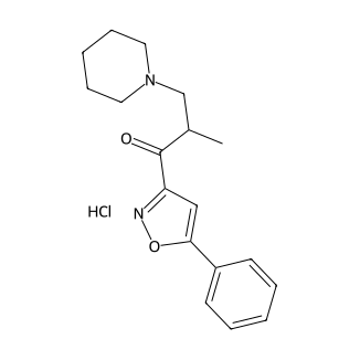 CC(CN1CCCCC1)C(=O)c1cc(-c2ccccc2)on1.Cl